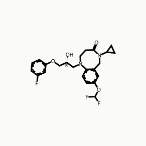 O=C1CCN(C[C@@H](O)COc2cccc(F)c2)c2ccc(OC(F)F)cc2CN1C1CC1